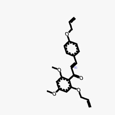 C=CCOc1ccc(/C=C/C(=O)c2c(OC)cc(OC)cc2OCC=C)cc1